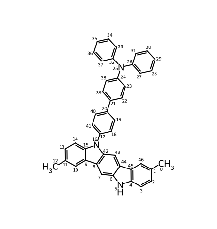 Cc1ccc2[nH]c3cc4c5cc(C)ccc5n(-c5ccc(-c6ccc(N(c7ccccc7)c7ccccc7)cc6)cc5)c4cc3c2c1